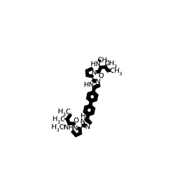 CC[C@H](C)[C@H](NC)C(=O)N1CCC[C@H]1c1ncc(-c2ccc(-c3ccc(-c4cnc([C@@H]5CCCN5C(=O)[C@@H](NC)[C@@H](C)CC)[nH]4)cc3)cc2)[nH]1